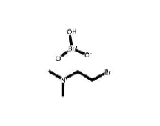 CN(C)CCBr.[O-][Br+2]([O-])O